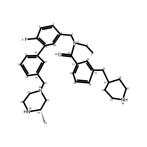 CCN(Cc1ccc(F)c(-c2cccc(CN3CCN[C@@H](C)C3)c2)c1)C(=O)c1cccc(CC2CCNCC2)c1